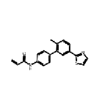 C=CC(=O)Nc1ccc(-c2cc(-c3nccs3)ccc2C)cc1